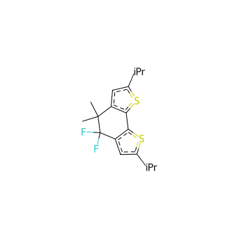 CC(C)c1cc2c(s1)-c1sc(C(C)C)cc1C(F)(F)C2(C)C